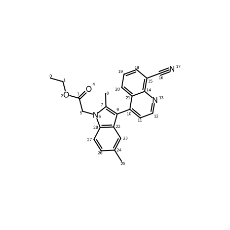 CCOC(=O)Cn1c(C)c(-c2ccnc3c(C#N)cccc23)c2cc(C)ccc21